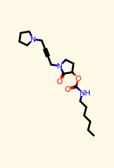 CCCCCCNC(=O)OC1CCN(CC#CCN2CCCC2)C1=O